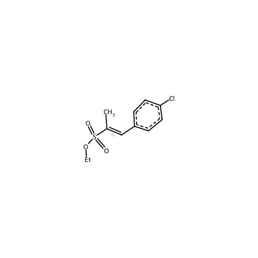 CCOS(=O)(=O)/C(C)=C/c1ccc(Cl)cc1